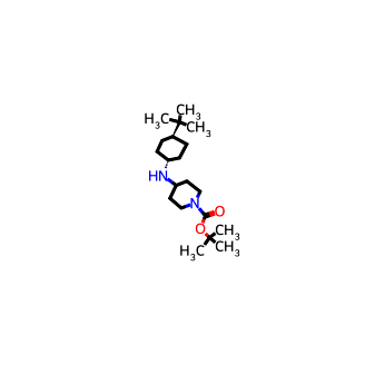 CC(C)(C)OC(=O)N1CCC(N[C@H]2CC[C@H](C(C)(C)C)CC2)CC1